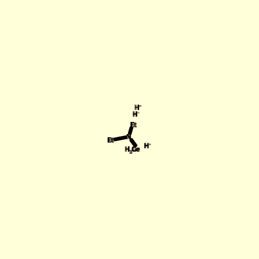 CC[N]([GeH3])CC.[H-].[H-].[H-]